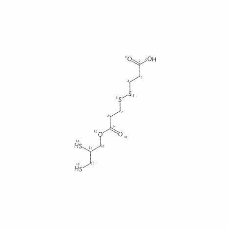 O=C(O)CCSSCCC(=O)OCC(S)CS